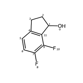 OC1CCc2ccc(F)c(F)c21